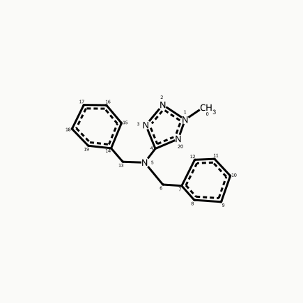 Cn1nnc(N(Cc2ccccc2)Cc2ccccc2)n1